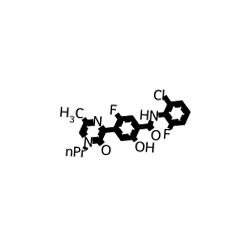 CCCn1cc(C)nc(-c2cc(O)c(C(=O)Nc3c(F)cccc3Cl)cc2F)c1=O